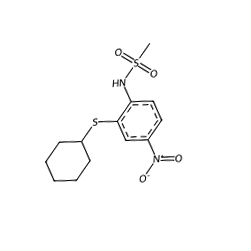 CS(=O)(=O)Nc1ccc([N+](=O)[O-])cc1SC1CCCCC1